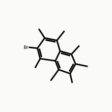 Cc1c(C)c(C)c2c(C)c(Br)c(C)c(C)c2c1C